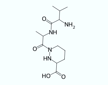 CC(NC(=O)C(N)C(C)C)C(=O)N1CCCC(C(=O)O)N1